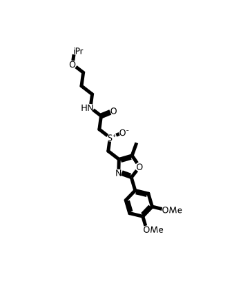 COc1ccc(-c2nc(C[S+]([O-])CC(=O)NCCCOC(C)C)c(C)o2)cc1OC